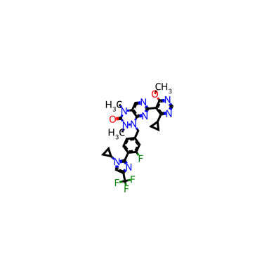 COc1ncnc(C2CC2)c1-c1ncc2c(n1)N(Cc1ccc(-c3nc(C(F)(F)F)cn3C3CC3)c(F)c1)N(C)C(=O)N2C